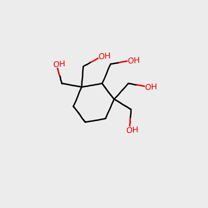 OCC1C(CO)(CO)CCCC1(CO)CO